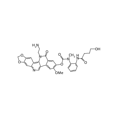 COc1cc2c(cc1OC(=O)N(C)c1ccccc1NC(=O)CCCO)c(=O)n(CCN)c1c3cc4c(cc3ncc21)OCO4